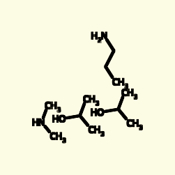 CC(C)O.CC(C)O.CCCN.CNC